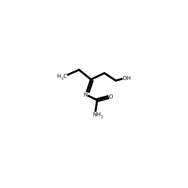 CCC(CCO)=NC(N)=O